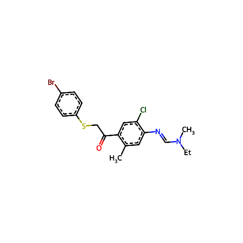 CCN(C)C=Nc1cc(C)c(C(=O)CSc2ccc(Br)cc2)cc1Cl